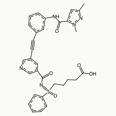 Cc1cc(C(=O)Nc2cccc(C#Cc3cncc(C(=O)N=S(=O)(CCCCC(=O)O)c4ccccc4)c3)c2)n(C)n1